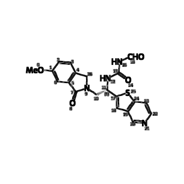 COc1ccc2c(c1)C(=O)N(C[C@H](NC(=O)NC=O)c1cc3cnccc3s1)C2